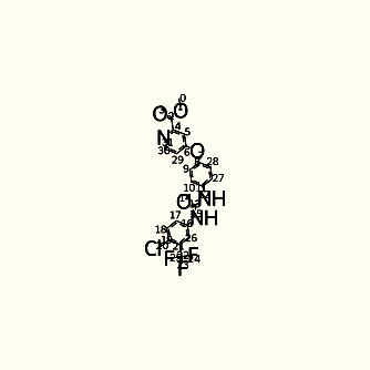 COC(=O)c1cc(Oc2ccc(NC(=O)Nc3ccc(Cl)c(C(F)(F)F)c3)cc2)ccn1